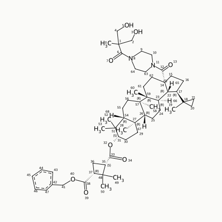 CC(CO)(CO)C(=O)N1CCN(C(=O)[C@]23CC[C@@H](C4(C)CC4)[C@@H]2[C@H]2CC[C@@H]4[C@@]5(C)CC[C@H](OC(=O)[C@H]6C[C@@H](C(=O)OCc7ccccc7)C6(C)C)C(C)(C)[C@@H]5CC[C@@]4(C)[C@]2(C)CC3)CC1